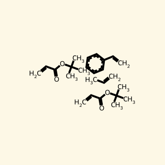 C=CC.C=CC(=O)OC(C)(C)C.C=CC(=O)OC(C)(C)C.C=Cc1ccccc1